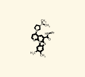 Cc1cc2nc3c(C(=O)NC(C)C)cc4c(N5CC[C@H](N(C)C)C5)ccnc4n3c2cc1C